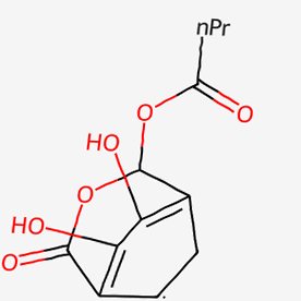 CCCC(=O)OC1OC(=O)C2=C(O)C(O)=C1C[CH]2